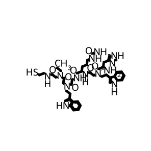 CCCN(CC(=O)NCCS)C(=O)CN(CCc1c[nH]c2ccccc12)C(=O)CNC(=O)C(CCCNC(N)=O)NC(=O)CN(CCC1=CNC2C=CC=CC12)C(=O)[C@@H](N)Cc1c[nH]cn1